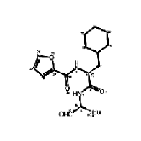 CC[C@H](C)[C@@H](C=O)NC(=O)[C@H](CC1CCCCC1)NC(=O)c1ccno1